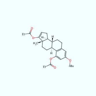 CCCCOc1cc2c(c(OC(=O)CC)c1)[C@H]1CC[C@]3(C)C(OC(=O)CC)=CC[C@H]3[C@@H]1CC2